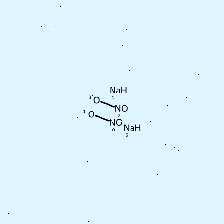 O=[NH+][O-].O=[NH+][O-].[NaH].[NaH]